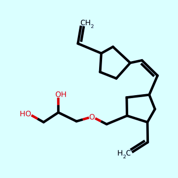 C=CC1CCC(/C=C\C2CC(C=C)C(COCC(O)CO)C2)C1